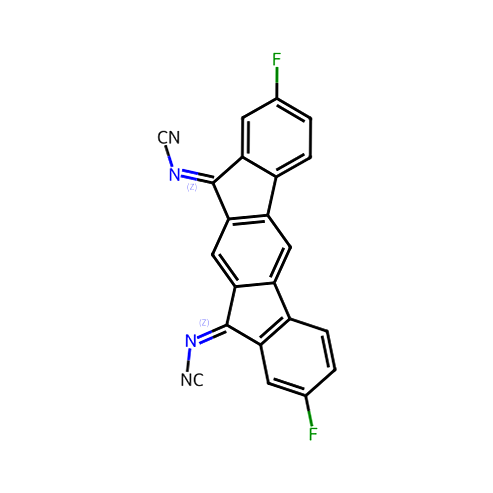 [C-]#[N+]/N=c1\c2cc(F)ccc2c2cc3c(cc12)/c(=N/C#N)c1cc(F)ccc13